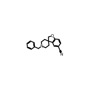 N#Cc1ccc2c(c1)C1(CCN(Cc3ccccc3)CC1)CO2